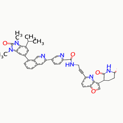 CC(C)c1cc(-c2cccc3cc(-c4ccc(C(=O)NCC#Cc5ccc6occ(C7CCC(=O)NC7=O)c6n5)nc4)ncc23)cc2c1n(C)c(=O)n2C